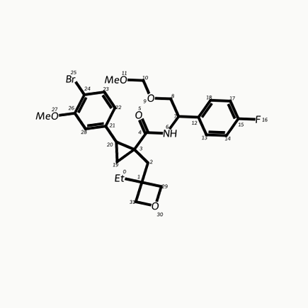 CCC1(CC2(C(=O)NC(COCOC)c3ccc(F)cc3)CC2c2ccc(Br)c(OC)c2)COC1